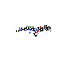 Cn1cc(-c2cnc3c(c2)CCC3Nc2nc3c(cc2Cl)nc(O[C@@H]2CO[C@@H]4C(O[Si](C)(C)C(C)(C)C)CC[C@@H]42)n3C2CCCCO2)cn1